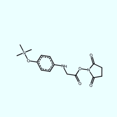 C[Si](C)(C)Oc1ccc(NCC(=O)ON2C(=O)CCC2=O)cc1